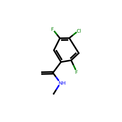 C=C(NC)c1cc(F)c(Cl)cc1F